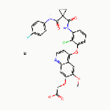 COc1cc2c(Oc3cccc(NC(=O)C4(C(=O)Nc5ccc(F)cc5)CC4)c3Cl)ccnc2cc1OCC(=O)[O-].[Li+]